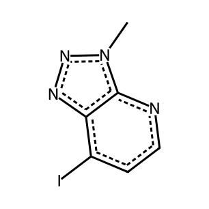 Cn1nnc2c(I)ccnc21